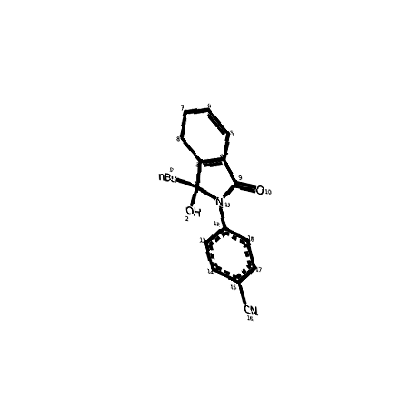 CCCCC1(O)C2=C(C=CCC2)C(=O)N1c1ccc(C#N)cc1